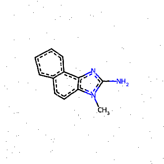 Cn1c(N)nc2c3ccccc3ccc21